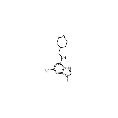 Brc1cc(NCC2CCOCC2)c2nc[nH]c2c1